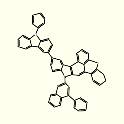 C1=CC2=C(CC1)Sc1cccc3c1c2cc1c3c2cc(-c3ccc4c(c3)c3ccccc3n4-c3ccccc3)ccc2n1-c1nc(-c2ccccc2)c2ccccc2n1